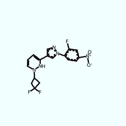 O=[N+]([O-])c1ccc(-n2cc(C3=CC=CN(C4CC(F)(F)C4)N3)cn2)c(F)c1